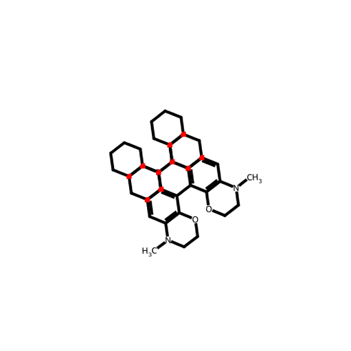 CN1CCOc2c1ccc(P(C1CCCCC1)C1CCCCC1)c2-c1c(P(C2CCCCC2)C2CCCCC2)ccc2c1OCCN2C